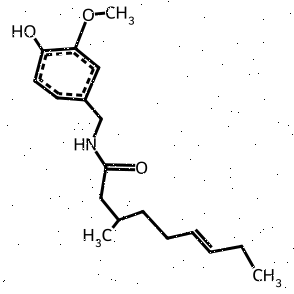 CCC=CCCC(C)CC(=O)NCc1ccc(O)c(OC)c1